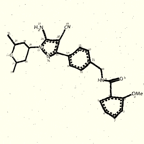 COc1ccccc1C(=O)NCc1ccc(-c2nn(C3CC(C)OC(C)C3)c(N)c2C#N)cc1